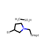 CCCCCCCCN1CCC(CC)C1.CS(=O)(=O)O